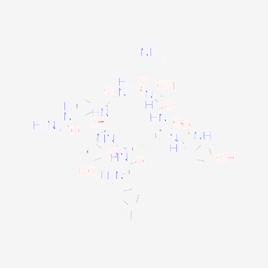 CC(C)[C@H](N)C(=O)Nc1ccc(C[C@H]2NC(=O)[C@H](Cc3ccc(O)cc3)NC(=O)[C@H](NC(=O)[C@@H](N)Cc3ccc(Cl)cc3)CSSC[C@@H](C(=O)N[C@H](Cc3ccc(O)cc3)C(N)=O)NC(=O)[C@H]([C@@H](C)O)NC(=O)[C@H](CCCCN)NC2=O)cc1